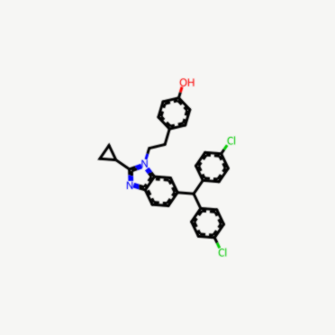 Oc1ccc(CCn2c(C3CC3)nc3ccc(C(c4ccc(Cl)cc4)c4ccc(Cl)cc4)cc32)cc1